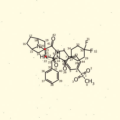 CS(=O)(=O)c1ccc(CN2C(=O)NC3(CC4CCC(C3)N4CC[C@H](NC(=O)C3CCC(F)(F)CC3)c3ccccc3)C2=O)cc1